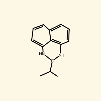 CC(C)B1Nc2cccc3cccc(c23)N1